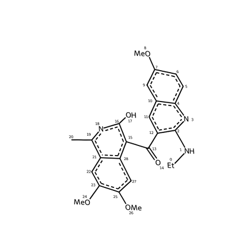 CCNc1nc2ccc(OC)cc2cc1C(=O)c1c(O)nc(C)c2cc(OC)c(OC)cc12